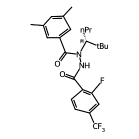 CCC[C@@H](N(NC(=O)c1ccc(C(F)(F)F)cc1F)C(=O)c1cc(C)cc(C)c1)C(C)(C)C